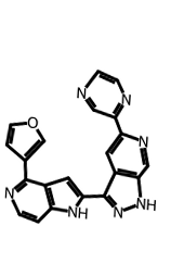 c1cnc(-c2cc3c(-c4cc5c(-c6ccoc6)nccc5[nH]4)n[nH]c3cn2)cn1